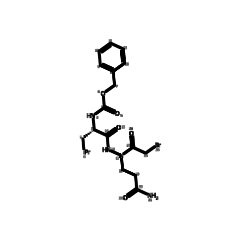 CC(C)C[C@H](NC(=O)OCc1ccccc1)C(=O)NN(CCC(N)=O)C(=O)CBr